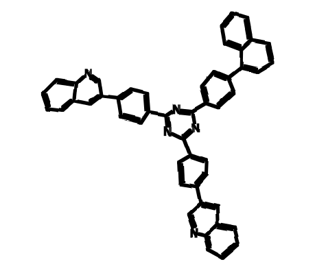 c1ccc2ncc(-c3ccc(-c4nc(-c5ccc(-c6cnc7ccccc7c6)cc5)nc(-c5ccc(-c6cccc7ccccc67)cc5)n4)cc3)cc2c1